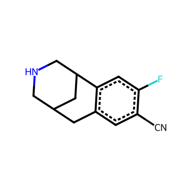 N#Cc1cc2c(cc1F)C1CNCC(C2)C1